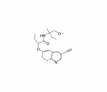 C#Cc1cnc2c(c1)C=C(OC(CC)C(=O)NC(C)(CC)COC)CC2